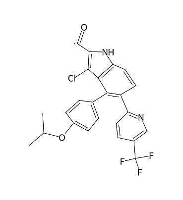 CC(C)Oc1ccc(-c2c(-c3ccc(C(F)(F)F)cn3)ccc3[nH]c([C]=O)c(Cl)c23)cc1